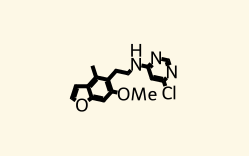 COc1cc2occc2c(C)c1CCNc1cc(Cl)ncn1